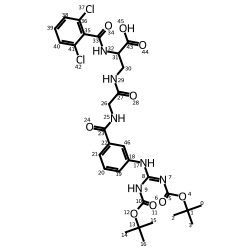 CC(C)(C)OC(=O)/N=C(\NC(=O)OC(C)(C)C)Nc1cccc(C(=O)NCC(=O)NCC(NC(=O)c2c(Cl)cccc2Cl)C(=O)O)c1